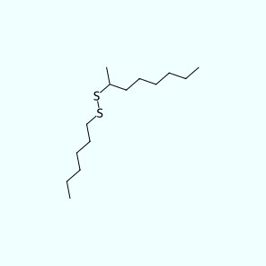 CCCCCCSSC(C)CCCCCC